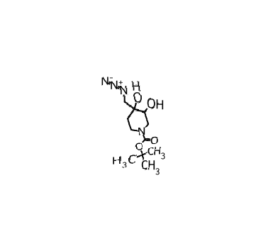 CC(C)(C)OC(=O)N1CCC(O)(CN=[N+]=[N-])C(O)C1